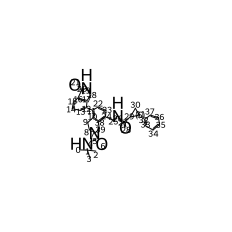 CC(C)(C)NC(=O)N1CCc2c(-c3cccc4c3CNC4=O)ccc(CNC(=O)C3C[C@@H]3c3ccccc3)c2C1